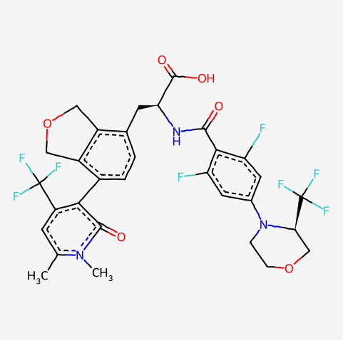 Cc1cc(C(F)(F)F)c(-c2ccc(C[C@H](NC(=O)c3c(F)cc(N4CCOC[C@@H]4C(F)(F)F)cc3F)C(=O)O)c3c2COC3)c(=O)n1C